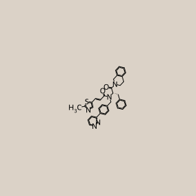 Cc1ncc(C=CC(=O)N(Cc2ccc(-c3cccnn3)cc2)[C@@H](Cc2ccccc2)C(=O)N2CCc3ccccc3C2)s1